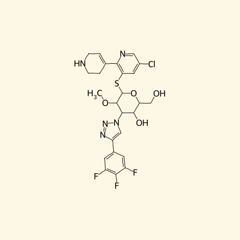 COC1C(Sc2cc(Cl)cnc2C2=CCNCC2)OC(CO)C(O)C1n1cc(-c2cc(F)c(F)c(F)c2)nn1